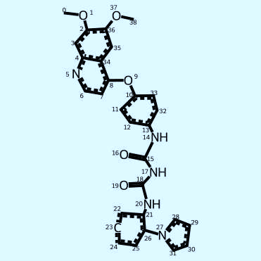 COc1cc2nccc(Oc3ccc(NC(=O)NC(=O)Nc4ccccc4-n4cccc4)cc3)c2cc1OC